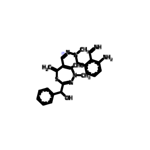 C=C1SC(C(O)c2ccccc2)=NN(C)C(C=O)=C1/C=N\N(C)Cc1cccc(N)c1C=N